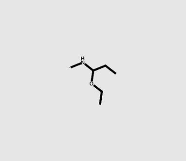 [CH2]NC(CC)OCC